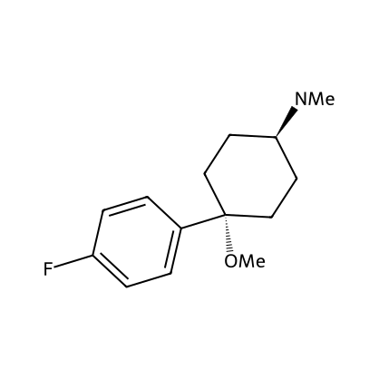 CN[C@H]1CC[C@@](OC)(c2ccc(F)cc2)CC1